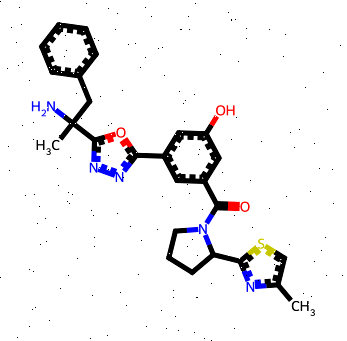 Cc1csc(C2CCCN2C(=O)c2cc(O)cc(-c3nnc(C(C)(N)Cc4ccccc4)o3)c2)n1